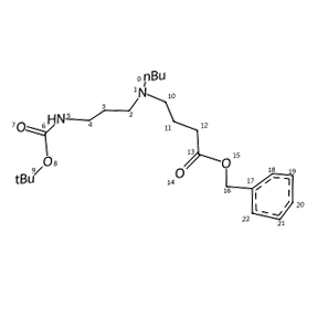 CCCCN(CCCNC(=O)OC(C)(C)C)CCCC(=O)OCc1ccccc1